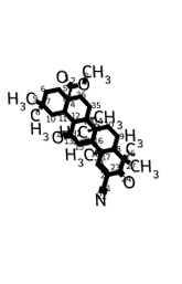 COC(=O)[C@]12CCC(C)(C)CC1C1C(=O)C=C3[C@@]4(C)C=C(C#N)C(=O)C(C)(C)C4CC[C@@]3(C)[C@]1(C)CC2